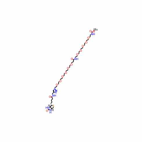 CC(C)(C)OC(=O)NCCOCCOCCOCCOCCOCCNC(=O)CCOCCOCCOCCOCCOCCOCCn1cc(CNC(=O)CCCC[C@@H]2SC[C@H]3NC(=O)N[C@@H]23)nn1